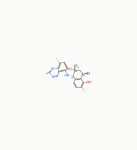 CC[C@@H]1C[C@](O)(C(F)(F)F)[C@@H](Nc2ccc(F)c3nc(C)ncc23)c2ccc(F)c(O)c21